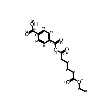 CCOC(=O)CCCCC(=O)OC(=O)c1ccc(C(=O)O)cc1